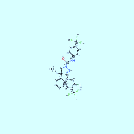 CCC1(c2ccccc2)CN(C(=O)Nc2ccc(C(F)(F)F)cc2)N=C1c1ccc(C(F)(F)F)c(Cl)c1